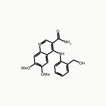 COc1cc2ncc(C(N)=O)c(Nc3ccccc3CO)c2cc1OC